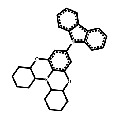 c1ccc2c(c1)c1ccccc1n2-c1cc2c3c(c1)OC1CCCCC1B3C1CCCCC1O2